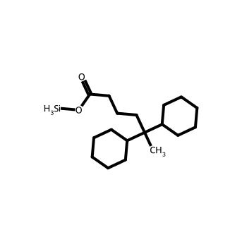 CC(CCCC(=O)O[SiH3])(C1CCCCC1)C1CCCCC1